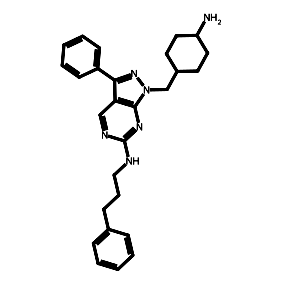 NC1CCC(Cn2nc(-c3ccccc3)c3cnc(NCCCc4ccccc4)nc32)CC1